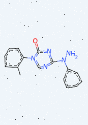 Cc1ccccc1-n1cnc(N(N)c2ccccc2)nc1=O